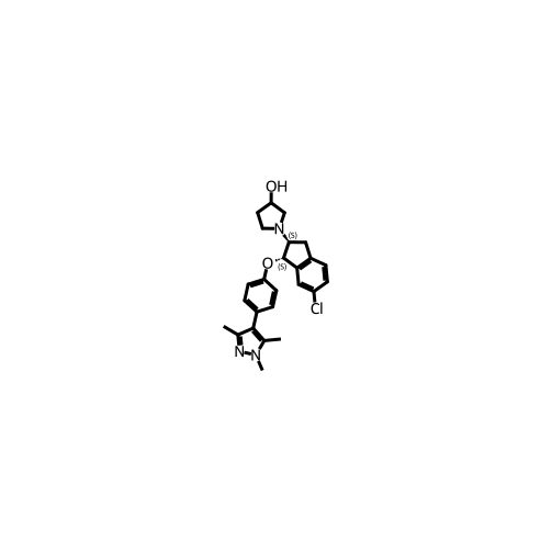 Cc1nn(C)c(C)c1-c1ccc(O[C@H]2c3cc(Cl)ccc3C[C@@H]2N2CCC(O)C2)cc1